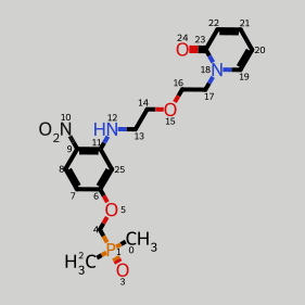 CP(C)(=O)COc1ccc([N+](=O)[O-])c(NCCOCCn2ccccc2=O)c1